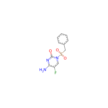 Nc1nc(=O)n(S(=O)(=O)Cc2ccccc2)cc1F